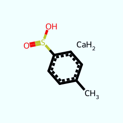 Cc1ccc(S(=O)O)cc1.[CaH2]